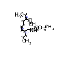 C/C=C(\CC/C=C\C(=C/CC)CNCCOCC)OC